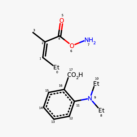 CCC=C(C)C(=O)ON.CCN(CC)c1ccccc1C(=O)O